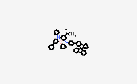 CC(C)c1cc2c3c(c1)N(c1ccccc1)c1ccc(-c4ccccc4)cc1B3c1ccccc1N2c1ccc(-c2ccc3c(c2)C2(c4ccccc4-c4ccccc42)c2ccccc2-3)cc1